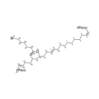 CCCCC/C=C\CCCCCCCC/C=C/CCC(CCCC/C=C/CCCCC)OC(=O)CCCCCBr